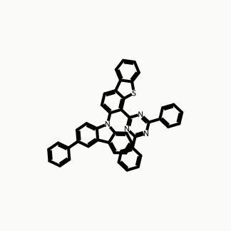 c1ccc(-c2ccc3c(c2)c2ccccc2n3-c2ccc3c(sc4ccccc43)c2-c2nc(-c3ccccc3)nc(-c3ccccc3)n2)cc1